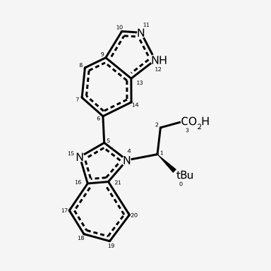 CC(C)(C)[C@H](CC(=O)O)n1c(-c2ccc3cn[nH]c3c2)nc2ccccc21